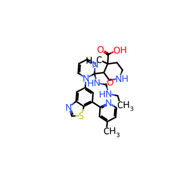 CCNC(=O)NC1(C2CNCCC2(C)C(=O)O)N=CC=CN1c1cc(-c2cc(C)ccn2)c2scnc2c1